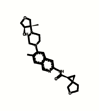 Cc1cc2cnc(NC(=O)[C@H]3C[C@]34CCOC4)cc2cc1N1CCN([C@]2(C)COC[C@@H]2O)CC1